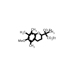 CCOC(=O)C(C)(C(=O)OCC)C1CCc2c(C)c(OC)c(C)c(C)c2O1